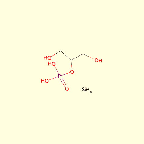 O=P(O)(O)OC(CO)CO.[SiH4]